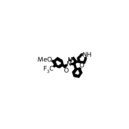 COc1ccc(C(=O)n2ncc3c2-c2ccccc2OC32CCNCC2)cc1C(F)(F)F